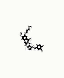 COCCCOc1cc(C(=O)N(C[C@@H]2CNC[C@H]2OCc2ccc(C)c(C)c2)C(C)C)ccc1OC